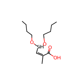 CCCCO[SiH](C=C(C)C(=O)O)OCCCC